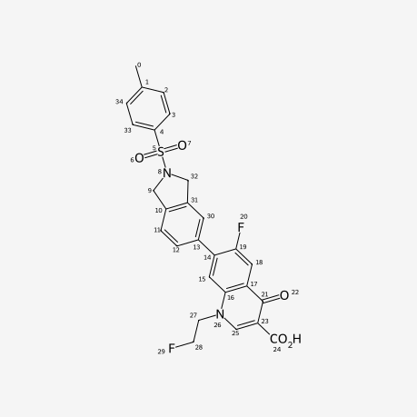 Cc1ccc(S(=O)(=O)N2Cc3ccc(-c4cc5c(cc4F)c(=O)c(C(=O)O)cn5CCF)cc3C2)cc1